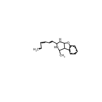 C=C/C=C\C=C\C1NC(C)C2c3ccccc3OC2N1